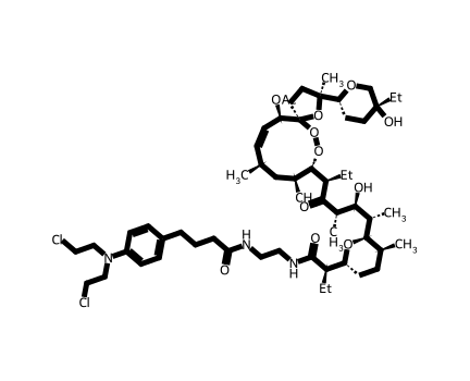 CC[C@@H](C(=O)[C@@H](C)[C@@H](O)[C@H](C)[C@@H]1O[C@@H]([C@@H](CC)C(=O)NCCNC(=O)CCCc2ccc(N(CCCl)CCCl)cc2)CC[C@@H]1C)[C@H]1OO[C@@]2(CC[C@@](C)([C@H]3CC[C@](O)(CC)CO3)O2)[C@H](OC(C)=O)/C=C\[C@H](C)C[C@@H]1C